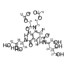 CC(=O)OCCN(C(=O)COC(C)=O)c1c(I)c(C(=O)NC(CO)CC(O)CO)c(I)c(C(=O)NC(CO)CC(O)CO)c1I